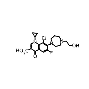 O=C(O)c1cn(C2CC2)c2c(Cl)c(N3CCCN(CCO)CC3)c(F)cc2c1=O